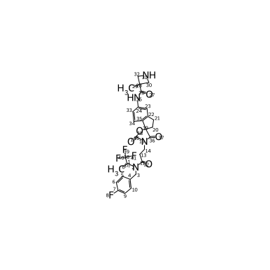 C[C@H](N(Cc1ccc(F)cc1)C(=O)CCN1C(=O)OC2(CCc3cc(NC(=O)C4(C)CNC4)ccc32)C1=O)C(F)(F)F